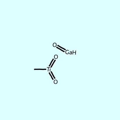 [CH3][Ti](=[O])=[O].[O]=[GaH]